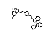 Fc1ccc2[nH]cc(/C=C/c3cc[n+](CCCC[PH](c4ccccc4)(c4ccccc4)c4ccccc4)cc3)c2c1